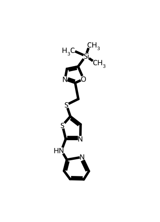 C[Si](C)(C)c1cnc(CSc2cnc(Nc3ccccn3)s2)o1